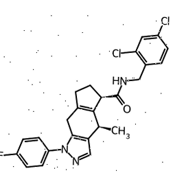 C[C@@H]1C2=C(CC[C@H]2C(=O)NCc2ccc(Cl)cc2Cl)Cc2c1cnn2-c1ccc(F)cc1